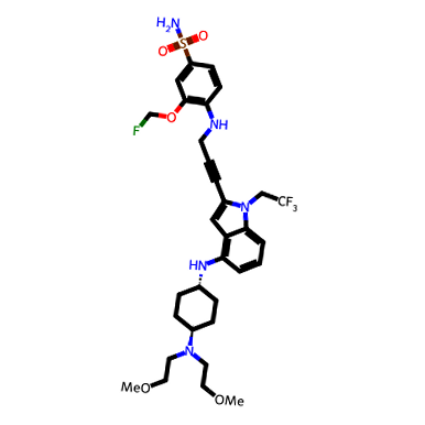 COCCN(CCOC)[C@H]1CC[C@H](Nc2cccc3c2cc(C#CCNc2ccc(S(N)(=O)=O)cc2OCF)n3CC(F)(F)F)CC1